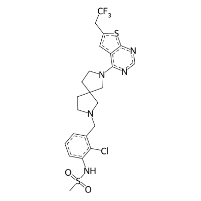 CS(=O)(=O)Nc1cccc(CN2CCC3(CCN(c4ncnc5sc(CC(F)(F)F)cc45)C3)C2)c1Cl